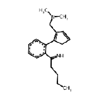 CCCCC(=N)c1ccccc1C1=C(CN(C)C)C=CC1